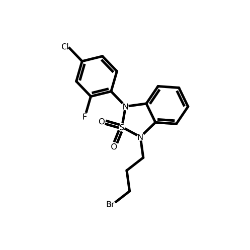 O=S1(=O)N(CCCBr)c2ccccc2N1c1ccc(Cl)cc1F